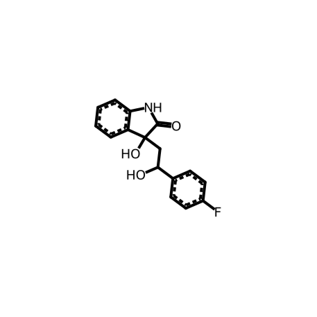 O=C1Nc2ccccc2C1(O)CC(O)c1ccc(F)cc1